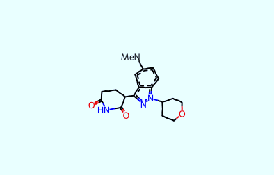 CNc1ccc2c(c1)c(C1CCC(=O)NC1=O)nn2C1CCOCC1